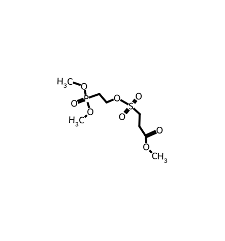 COC(=O)CCS(=O)(=O)OCCP(=O)(OC)OC